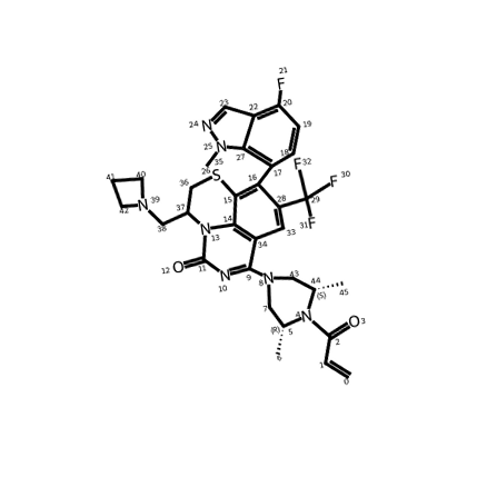 C=CC(=O)N1[C@H](C)CN(c2nc(=O)n3c4c(c(-c5ccc(F)c6cnn(C)c56)c(C(F)(F)F)cc24)SCC3CN2CCC2)C[C@@H]1C